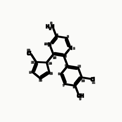 Nc1cnc(-c2ccc(O)c(Cl)c2)c(C2C=CC=C2Cl)n1